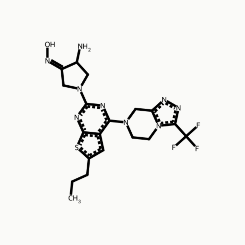 CCCc1cc2c(N3CCn4c(nnc4C(F)(F)F)C3)nc(N3CC(=NO)C(N)C3)nc2s1